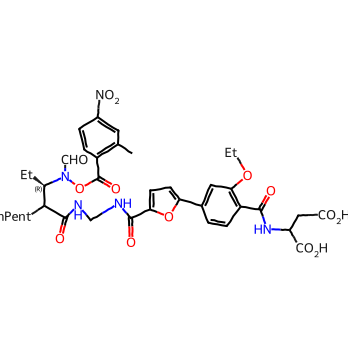 CCCCCC(C(=O)NCNC(=O)c1ccc(-c2ccc(C(=O)NC(CC(=O)O)C(=O)O)c(OCC)c2)o1)[C@@H](CC)N(C=O)OC(=O)c1ccc([N+](=O)[O-])cc1C